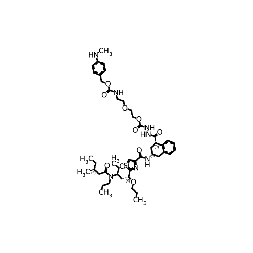 CCCO[C@H](CC(C(C)C)N(CCC)C(=O)C[C@@H](C)CC)c1nc(C(=O)N[C@H]2Cc3ccccc3[C@H](C(=O)NNC(=O)OCCOCCNC(=O)OCc3ccc(NC)cc3)C2)cs1